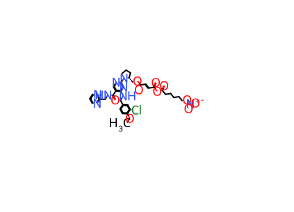 COc1ccc(CNc2nc(N3CCC[C@H]3COC(=O)/C=C/C(=O)OC(=O)CCCCCO[N+](=O)[O-])ncc2C(=O)NCc2ncccn2)cc1Cl